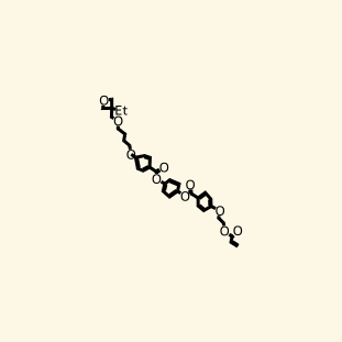 C=CC(=O)OCCOc1ccc(C(=O)Oc2ccc(OC(=O)c3ccc(OCCCCOCC4(CC)COC4)cc3)cc2)cc1